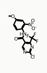 COc1ccc(NC(=O)c2cnc(Cl)nc2C(F)(F)F)c([N+](=O)[O-])c1